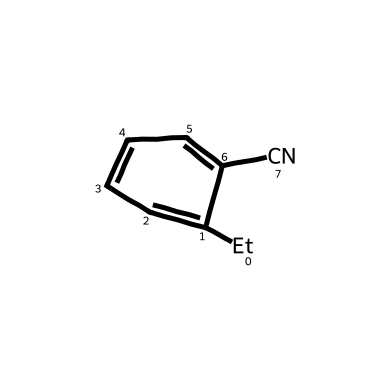 CCc1ccccc1C#N